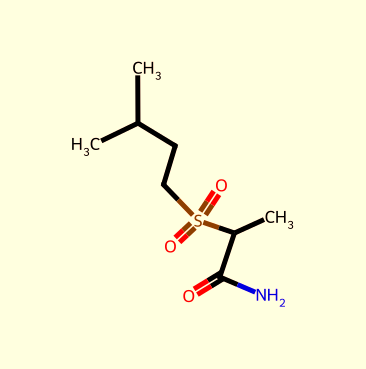 CC(C)CCS(=O)(=O)C(C)C(N)=O